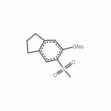 COc1cc2c(cc1S(C)(=O)=O)CCC2